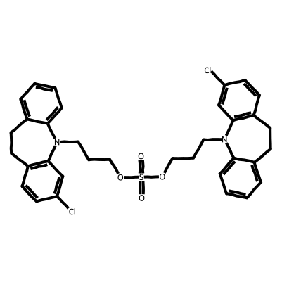 O=S(=O)(OCCCN1c2ccccc2CCc2ccc(Cl)cc21)OCCCN1c2ccccc2CCc2ccc(Cl)cc21